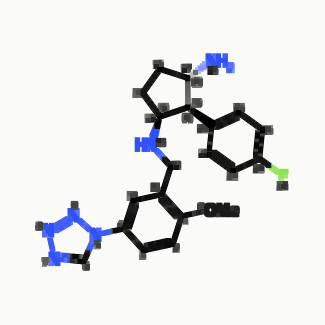 COc1ccc(-n2cnnn2)cc1CN[C@H]1CC[C@H](N)[C@H]1c1ccc(F)cc1